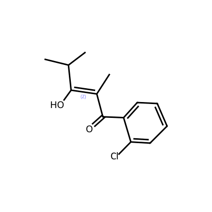 C/C(C(=O)c1ccccc1Cl)=C(/O)C(C)C